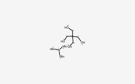 CCCCN(CCCC)CCCC.OCC(CO)(CO)CO